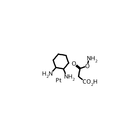 NC1CCCCC1N.NOC(=O)CC(=O)O.[Pt]